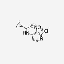 CCC(Nc1ccnc(Cl)c1[N+](=O)[O-])C1CC1